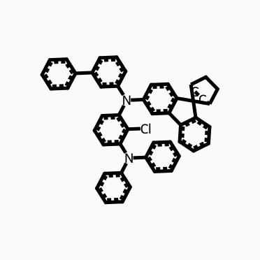 Clc1c(N(c2ccccc2)c2ccccc2)cccc1N(c1cccc(-c2ccccc2)c1)c1ccc2c(c1)-c1ccccc1C21C2CCC1CC2